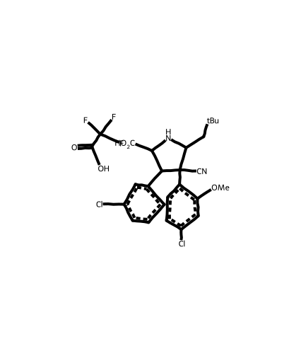 COc1cc(Cl)ccc1C1(C#N)C(CC(C)(C)C)NC(C(=O)O)C1c1cccc(Cl)c1.O=C(O)C(F)(F)F